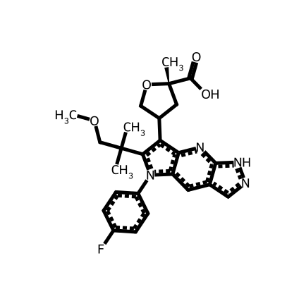 COCC(C)(C)c1c(C2CO[C@](C)(C(=O)O)C2)c2nc3[nH]ncc3cc2n1-c1ccc(F)cc1